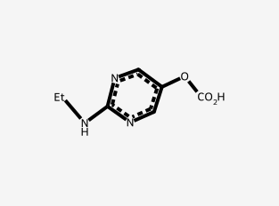 CCNc1ncc(OC(=O)O)cn1